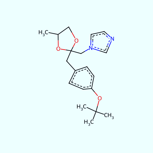 CC1COC(Cc2ccc(OC(C)(C)C)cc2)(Cn2ccnc2)O1